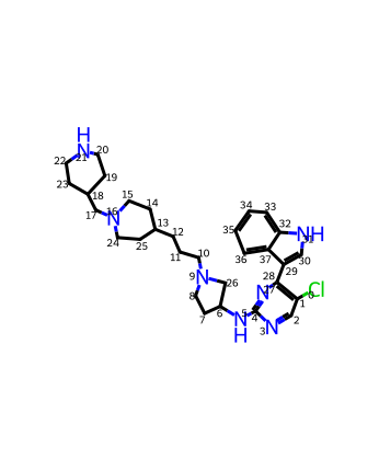 Clc1cnc(NC2CCN(CCCC3CCN(CC4CCNCC4)CC3)C2)nc1-c1c[nH]c2ccccc12